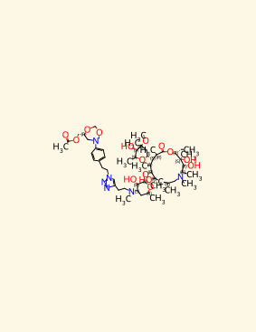 CC[C@H]1OC(=O)[C@H](C)[C@@H](C2C[C@@](C)(OC)[C@@H](O)[C@H](C)O2)[C@H](C)[C@@H](O[C@@H]2O[C@H](C)C[C@H](N(C)CCc3cn(CCc4ccc(N5COCO[C@@H](COC(C)=O)C5)cc4)nn3)[C@H]2O)[C@](C)(O)C[C@@H](C)CN(C)[C@H](C)[C@@H](O)[C@]1(C)O